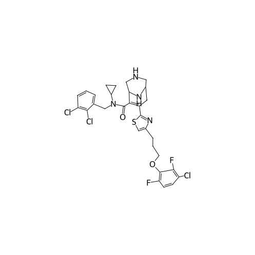 O=C(C1=C(c2nc(CCCOc3c(F)ccc(Cl)c3F)cs2)CC2CNCC1N2)N(Cc1cccc(Cl)c1Cl)C1CC1